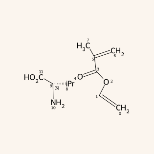 C=COC(=O)C(=C)C.CC(C)[C@H](N)C(=O)O